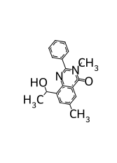 Cc1cc(C(C)O)c2nc(-c3ccccc3)n(C)c(=O)c2c1